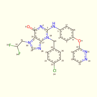 O=c1nc(Nc2ccc(Oc3cccnn3)cc2)n(Cc2ccc(Cl)cc2)c2ncn(CC(F)F)c12